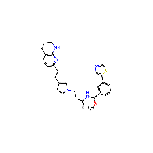 O=C(NC(CCN1CCC(CCc2ccc3c(n2)NCCC3)C1)C(=O)O)c1cccc(-c2cncs2)c1